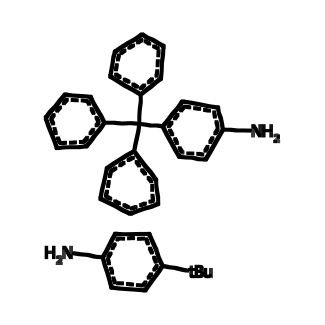 CC(C)(C)c1ccc(N)cc1.Nc1ccc(C(c2ccccc2)(c2ccccc2)c2ccccc2)cc1